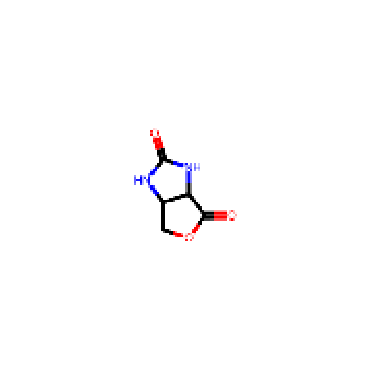 O=C1NC2COC(=O)C2N1